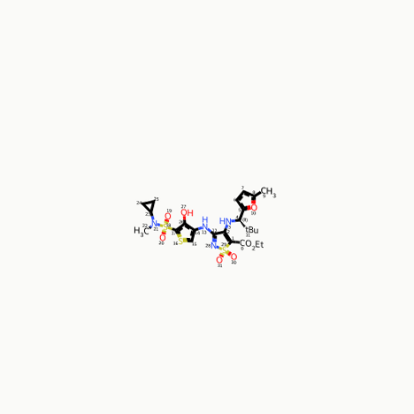 CCOC(=O)C1=C(N[C@@H](c2ccc(C)o2)C(C)(C)C)C(Nc2csc(S(=O)(=O)N(C)C3CC3)c2O)=NS1(=O)=O